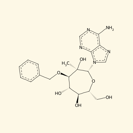 C[C@@]1(O)[C@H](OCc2ccccc2)[C@@H](O)[C@H](O)[C@@H](CO)O[C@H]1n1cnc2c(N)ncnc21